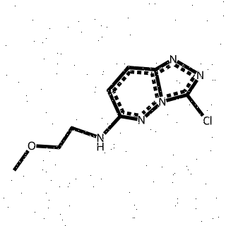 COCCNc1ccc2nnc(Cl)n2n1